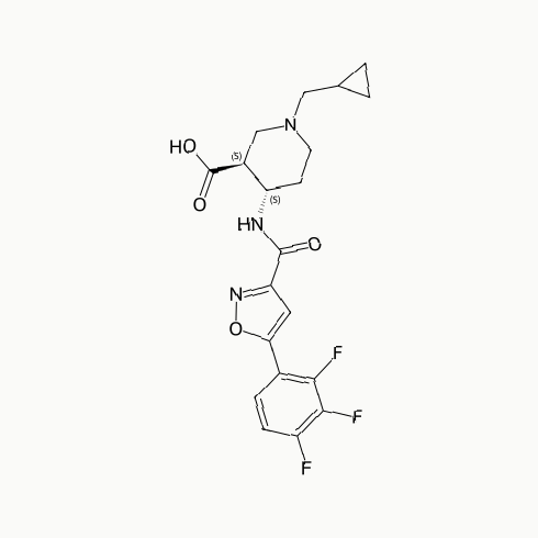 O=C(N[C@H]1CCN(CC2CC2)C[C@@H]1C(=O)O)c1cc(-c2ccc(F)c(F)c2F)on1